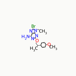 CCn1c(Br)nc2c(N)nc(OCC(C)c3ccc(OC)cc3)nc21